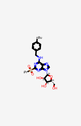 CCCCc1ccc(CNc2nc(S(=O)(=O)C(C)C)nc3c2ncn3[C@@H]2O[C@H](CO)[C@@H](O)[C@H]2O)cc1